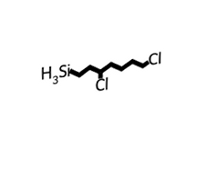 [SiH3]CCC(Cl)CCCCCl